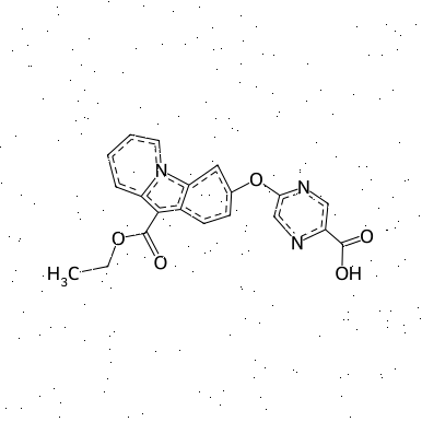 CCOC(=O)c1c2ccc(Oc3cnc(C(=O)O)cn3)cc2n2ccccc12